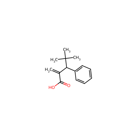 C=C(C(=O)O)C(c1ccccc1)C(C)(C)C